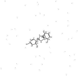 Cc1ccc(N2CC3C(C2)C2(C)C=CC3(C)O2)c(C)c1